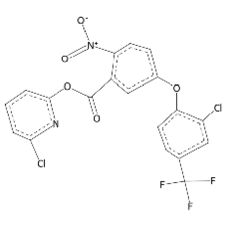 O=C(Oc1cccc(Cl)n1)c1cc(Oc2ccc(C(F)(F)F)cc2Cl)ccc1[N+](=O)[O-]